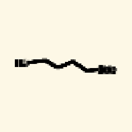 CSC[CH]CCO